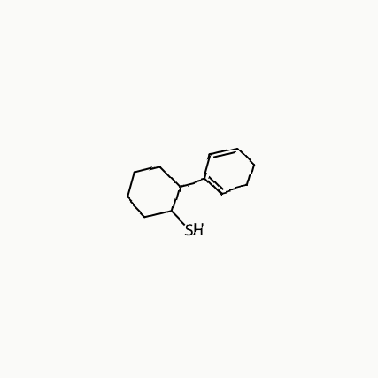 SC1CCCCC1C1=CCCC=C1